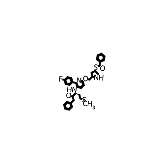 CSCC[C@H](Nc1ccc(OCC2CC(SC(=O)c3ccccc3)CN2)nc1-c1ccc(F)cc1)C(=O)Cc1ccccc1